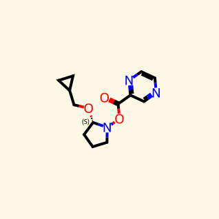 O=C(ON1CCC[C@@H]1OCC1CC1)c1cnccn1